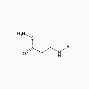 CC(=O)NCCC(=O)SN